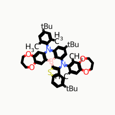 Cc1cc(C(C)(C)C)cc(C)c1N1c2cc3c(cc2B2c4sc5ccc(C(C)(C)C)cc5c4N(c4c(C)cc5c(c4C)OCCCO5)c4cc(C(C)(C)C)cc1c42)OCCCO3